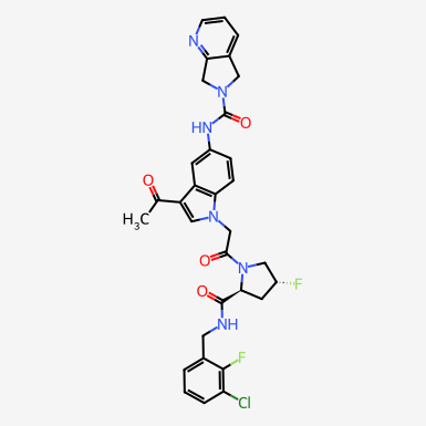 CC(=O)c1cn(CC(=O)N2C[C@H](F)C[C@H]2C(=O)NCc2cccc(Cl)c2F)c2ccc(NC(=O)N3Cc4cccnc4C3)cc12